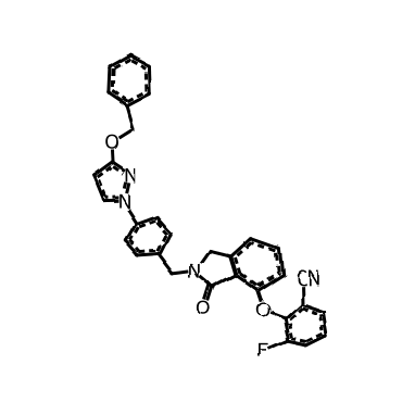 N#Cc1cccc(F)c1Oc1cccc2c1C(=O)N(Cc1ccc(-n3ccc(OCc4ccccc4)n3)cc1)C2